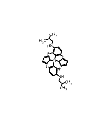 CC(C)CNc1ccc(F)[c]([Ti]([c]2c(F)ccc(NCC(C)C)c2F)([CH]2C=CC=C2)[CH]2C=CC=C2)c1F